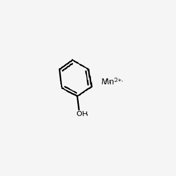 Oc1ccccc1.[Mn+2]